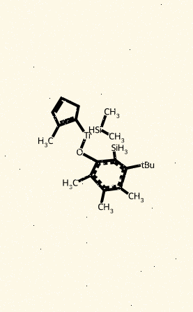 CC1=[C]([Ti]([O]c2c(C)c(C)c(C)c(C(C)(C)C)c2[SiH3])[SiH](C)C)CC=C1